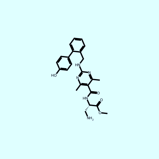 COC(=O)[C@H](CN)NC(=O)c1c(C)nc(NCc2ccccc2-c2ccc(O)cc2)nc1C